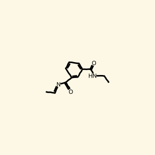 C/C=N/C(=O)c1cccc(C(=O)NCC)c1